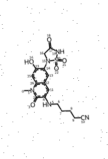 Cn1c(=O)c(NCCCCC#N)cc2cc(N3CC(=O)NS3(=O)=O)c(O)cc21